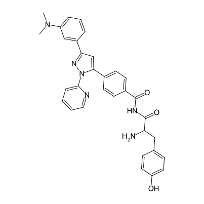 CN(C)c1cccc(-c2cc(-c3ccc(C(=O)NC(=O)C(N)Cc4ccc(O)cc4)cc3)n(-c3ccccn3)n2)c1